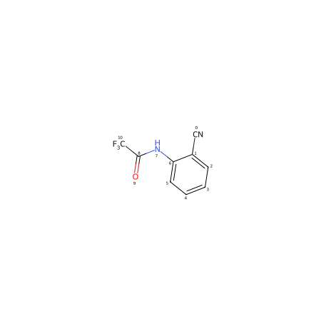 N#Cc1ccccc1NC(=O)C(F)(F)F